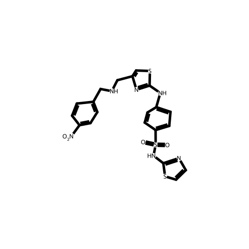 O=[N+]([O-])c1ccc(CNCc2csc(Nc3ccc(S(=O)(=O)Nc4nccs4)cc3)n2)cc1